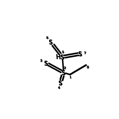 CCS(=S)(=S)[SH](=S)=S